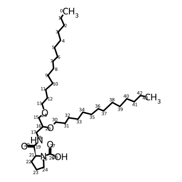 CCCCCCCCCCCCCCOCC(CNC(=O)[C@@H]1CCCN1C(=O)O)OCCCCCCCCCCCCCC